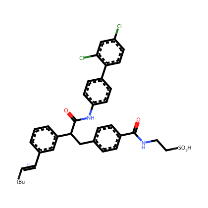 CC(C)(C)/C=C/c1cccc(C(Cc2ccc(C(=O)NCCS(=O)(=O)O)cc2)C(=O)Nc2ccc(-c3ccc(Cl)cc3Cl)cc2)c1